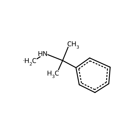 [CH2]NC(C)(C)c1ccccc1